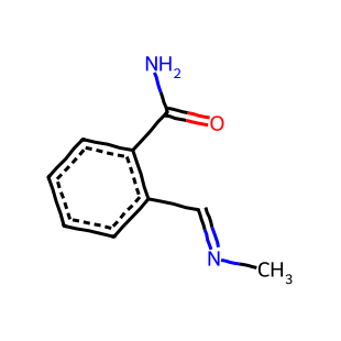 CN=Cc1ccccc1C(N)=O